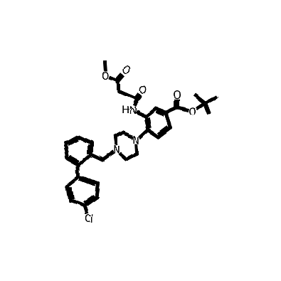 COC(=O)CC(=O)Nc1cc(C(=O)OC(C)(C)C)ccc1N1CCN(Cc2ccccc2-c2ccc(Cl)cc2)CC1